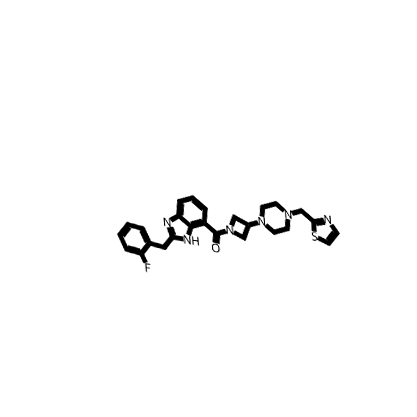 O=C(c1cccc2nc(Cc3ccccc3F)[nH]c12)N1CC(N2CCN(Cc3nccs3)CC2)C1